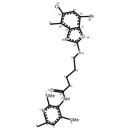 CSc1cc(C)nc(SC)c1NC(=O)CCCCSc1nc2c(C)c(Cl)cc(C(C)C)c2o1